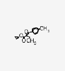 CCC1(C(=O)OC2CC2)OC1c1ccc(C)cc1